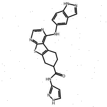 O=C(Nc1cc[nH]n1)C1CCc2c(sc3ncnc(Nc4ccc5[nH]ncc5c4)c23)C1